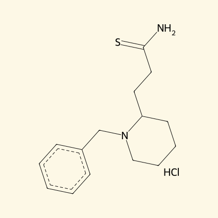 Cl.NC(=S)CCC1CCCCN1Cc1ccccc1